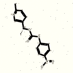 Cc1ccc([C@@H](C)OC(=O)Oc2ccc([N+](=O)[O-])cc2)cn1